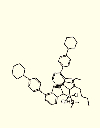 CCCCC1=Cc2c(-c3ccc(C4CCCCC4)cc3)cccc2[CH]1[Zr]([Cl])([Cl])([CH]1C(CCCC)=Cc2c(-c3ccc(C4CCCCC4)cc3)cccc21)[SiH](C)C